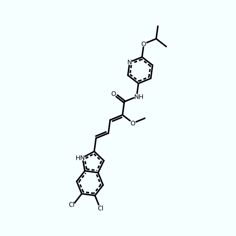 CO/C(=C\C=C\c1cc2cc(Cl)c(Cl)cc2[nH]1)C(=O)Nc1ccc(OC(C)C)nc1